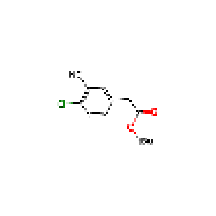 CC(C)(C)OC(=O)Cc1ccc(Cl)c(C#N)c1